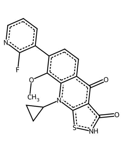 COc1c(-c2cccnc2F)ccc2c(=O)c3c(=O)[nH]sc3n(C3CC3)c12